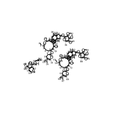 CC[C@H]1CCC[C@H](O[C@H]2CC[C@H](N(C)C)[C@@H](C)O2)[C@@H](C)C(=O)C2=C[C@@H]3[C@@H](C=C(C)[C@@H]4C[C@@H](O[C@@H]5O[C@@H](C)[C@H](OC)[C@@H](OC)[C@H]5OC)C[C@@H]34)[C@@H]2CC(=O)O1.CC[C@H]1CCC[C@H](O[C@H]2CC[C@H](N(C)C)[C@@H](C)O2)[C@@H](C)C(=O)C2=C[C@@H]3[C@@H](C=C[C@@H]4C[C@@H](O[C@@H]5O[C@@H](C)[C@H](OC)[C@@H](OC)[C@H]5OC)C[C@@H]34)[C@@H]2CC(=O)O1.N#CCNC(=O)c1cnccc1C(F)(F)F